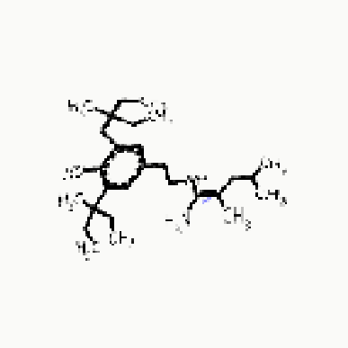 CCC(C)(CC)Cc1cc(CCN/C(N)=C(/C)CC(C)C)cc(C(C)(CC)CC)c1O